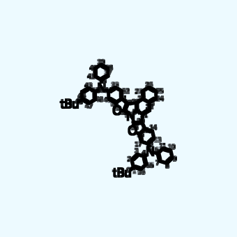 CC(C)(C)c1ccc(N(c2ccccc2)c2ccc3c(c2)oc2c3c3cc4ccccc4c4c5c6ccc(N(c7ccccc7)c7ccc(C(C)(C)C)cc7)cc6oc5n2c34)cc1